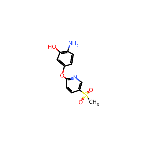 CS(=O)(=O)c1ccc(Oc2ccc(N)c(O)c2)nc1